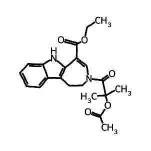 CCOC(=O)C1=CN(C(=O)C(C)(C)OC(C)=O)CCc2c1[nH]c1ccccc21